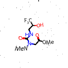 CNN(CC(=O)OC)C(=O)NCC(O)C(F)(F)F